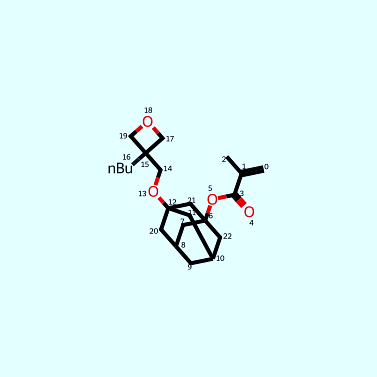 C=C(C)C(=O)OC12CC3CC(CC(OCC4(CCCC)COC4)(C3)C1)C2